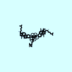 CC(C)CCC[C@@H](C)[C@H]1CC[C@H]2[C@@H]3CC=C4C[C@@H](OC(=O)C(OC(=O)CCCN(C)C)C(=O)O[C@H]5CC[C@@]6(C)C(=CC[C@H]7[C@@H]8CC[C@H]([C@H](C)CCCC(C)C)[C@@]8(C)CC[C@@H]76)C5)CC[C@]4(C)[C@H]3CC[C@]12C